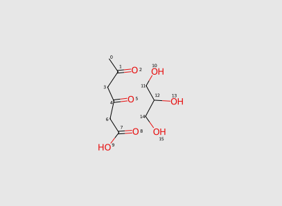 CC(=O)CC(=O)CC(=O)O.OCC(O)CO